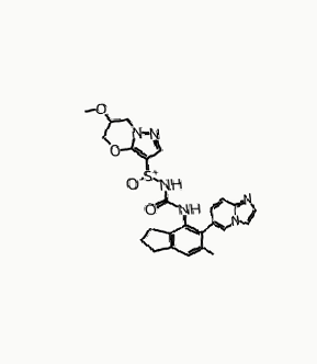 COC1COc2c([S+]([O-])NC(=O)Nc3c4c(cc(C)c3-c3ccc5nccn5c3)CCC4)cnn2C1